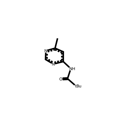 Cc1cc(NC(=O)C(C)(C)C)ncn1